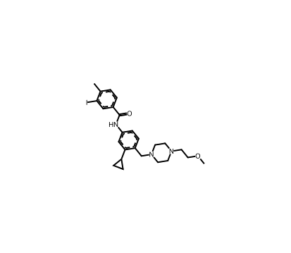 COCCN1CCN(Cc2ccc(NC(=O)c3ccc(C)c(I)c3)cc2C2CC2)CC1